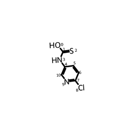 OC(=S)Nc1ccc(Cl)nc1